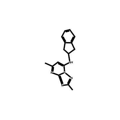 Cc1cc(NC2Cc3ccccc3C2)n2nc(C)nc2n1